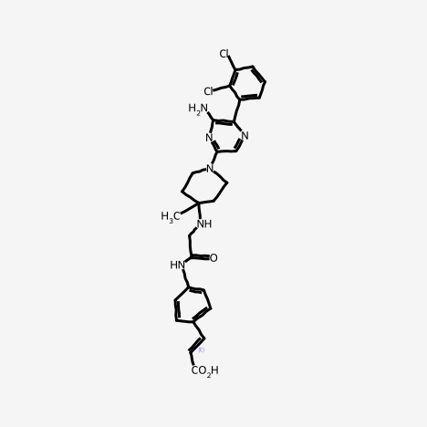 CC1(NCC(=O)Nc2ccc(/C=C/C(=O)O)cc2)CCN(c2cnc(-c3cccc(Cl)c3Cl)c(N)n2)CC1